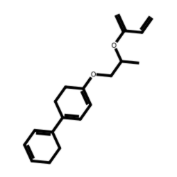 C=CC(=C)OC(C)COC1=CC=C(C2=CC=CCC2)CC1